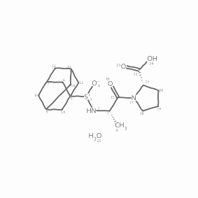 C[C@H](N[S+]([O-])C12CC3CC(CC(C3)C1)C2)C(=O)N1CCC[C@H]1C(=O)O.O